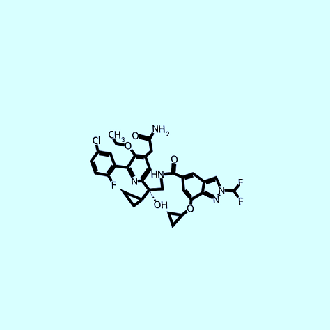 CCOc1c(CC(N)=O)cc([C@@](O)(CNC(=O)c2cc(OC3CC3)c3nn(C(F)F)cc3c2)C2CC2)nc1-c1cc(Cl)ccc1F